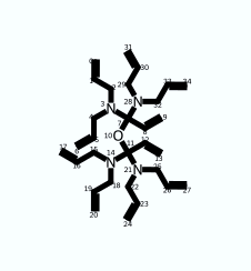 C=CCN(CC=C)C(C=C)(OC(C=C)(N(CC=C)CC=C)N(CC=C)CC=C)N(CC=C)CC=C